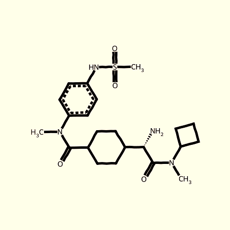 CN(C(=O)C1CCC([C@H](N)C(=O)N(C)C2CCC2)CC1)c1ccc(NS(C)(=O)=O)cc1